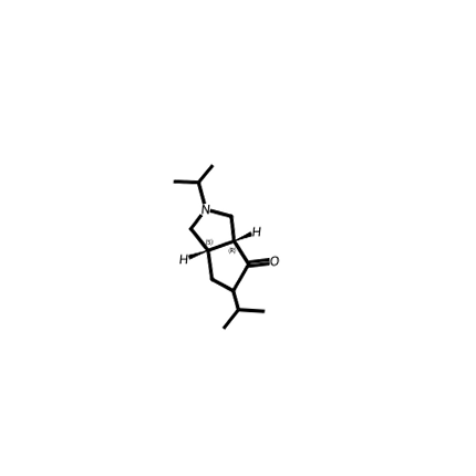 CC(C)C1C[C@@H]2CN(C(C)C)C[C@@H]2C1=O